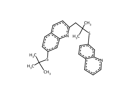 CC(C)(C)Sc1ccc2ccc(CC(C)(C)Sc3ccc4cccnc4c3)nc2c1